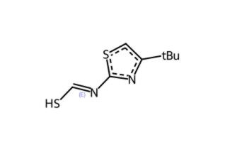 CC(C)(C)c1csc(/N=C/S)n1